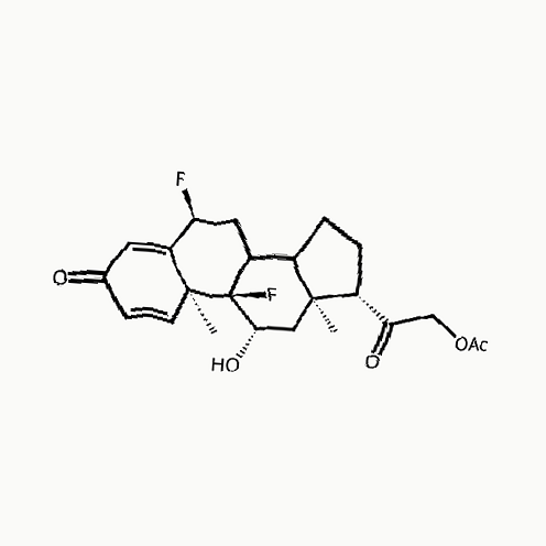 CC(=O)OCC(=O)[C@H]1CCC2C3C[C@H](F)C4=CC(=O)C=C[C@]4(C)[C@@]3(F)[C@@H](O)C[C@@]21C